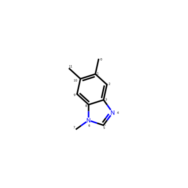 Cc1cc2n[c]n(C)c2cc1C